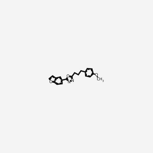 COc1ccc(CCCc2nnc(-c3ccc4occc4c3)o2)cc1